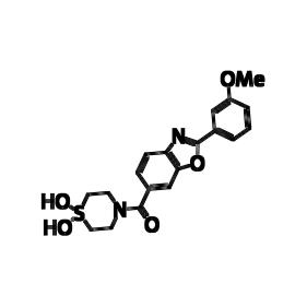 COc1cccc(-c2nc3ccc(C(=O)N4CCS(O)(O)CC4)cc3o2)c1